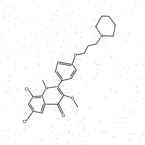 COc1c(-c2ccc(OCCCN3CCCCC3)cc2)n(C)c2c(Cl)cc(Cl)cc2c1=O